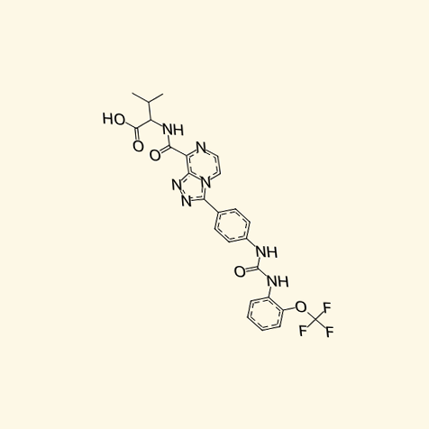 CC(C)C(NC(=O)c1nccn2c(-c3ccc(NC(=O)Nc4ccccc4OC(F)(F)F)cc3)nnc12)C(=O)O